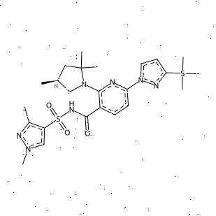 Cc1nn(C)cc1S(=O)(=O)NC(=O)c1ccc(-n2ccc(S(C)(C)C)n2)nc1N1C[C@@H](C)CC1(C)C